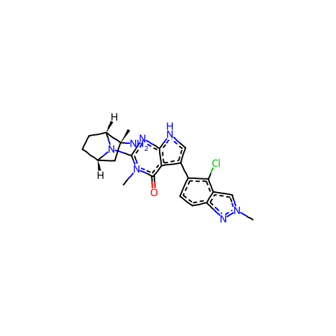 Cn1cc2c(Cl)c(-c3c[nH]c4nc(N5[C@H]6CC[C@@H]5[C@](C)(N)C6)n(C)c(=O)c34)ccc2n1